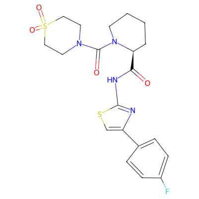 O=C(Nc1nc(-c2ccc(F)cc2)cs1)[C@@H]1CCCCN1C(=O)N1CCS(=O)(=O)CC1